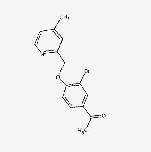 CC(=O)c1ccc(OCc2cc(C)ccn2)c(Br)c1